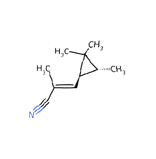 C/C(C#N)=C\[C@@H]1[C@@H](C)C1(C)C